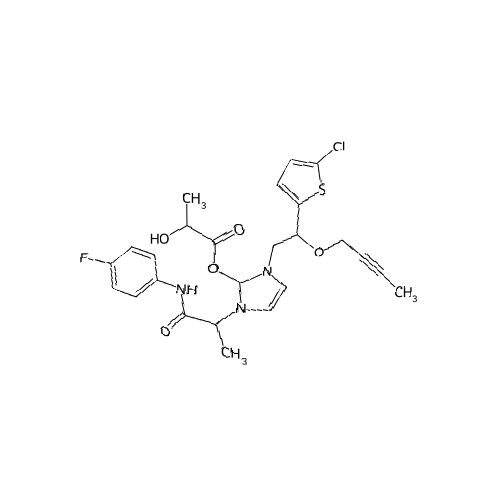 CC#CCOC(CN1C=CN(C(C)C(=O)Nc2ccc(F)cc2)C1OC(=O)C(C)O)c1ccc(Cl)s1